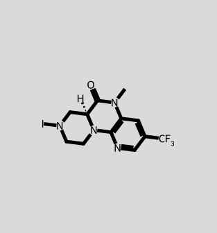 CN1C(=O)[C@@H]2CN(I)CCN2c2ncc(C(F)(F)F)cc21